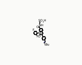 CC(C)(C)/C=C/c1ccc(C(Cc2ccc(C(=O)NCCS(=O)(=O)O)cc2)C(=O)Nc2cc(F)ccc2F)cc1